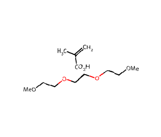 C=C(C)C(=O)O.COCCOCCOCCOC